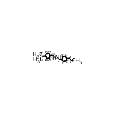 CCCc1ccc(CNNCc2ccc(C(C)C)cc2)cc1